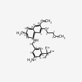 COCCOc1cc2c(NCc3cc(N)cc(C(F)(F)F)n3)nc(C)nc2cc1OC